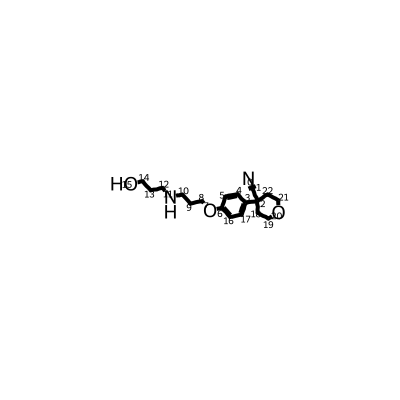 N#CC1(c2ccc(OCCCNCCCO)cc2)CCOCC1